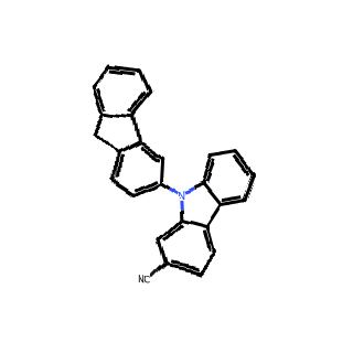 N#Cc1ccc2c3ccccc3n(-c3ccc4c(c3)-c3ccccc3C4)c2c1